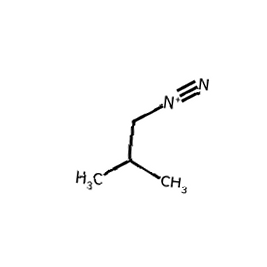 CC(C)C[N+]#N